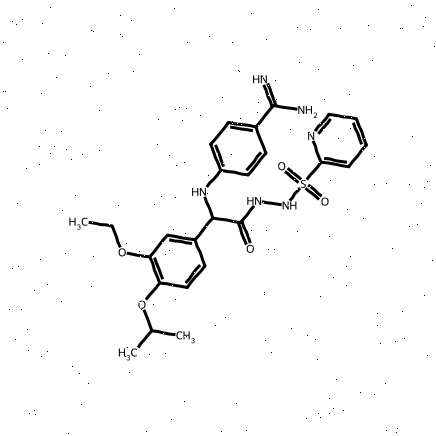 CCOc1cc(C(Nc2ccc(C(=N)N)cc2)C(=O)NNS(=O)(=O)c2ccccn2)ccc1OC(C)C